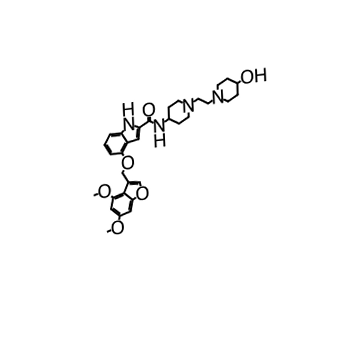 COc1cc(OC)c2c(COc3cccc4[nH]c(C(=O)NC5CCN(CCN6CCC(O)CC6)CC5)cc34)coc2c1